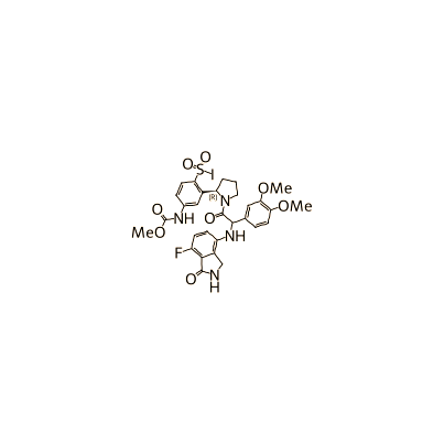 COC(=O)Nc1ccc(S(=O)(=O)I)c([C@H]2CCCN2C(=O)C(Nc2ccc(F)c3c2CNC3=O)c2ccc(OC)c(OC)c2)c1